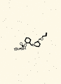 C=CCOC[C@@H]1CCCN(CC2CCCCC2OC(=O)NC(C)(C)C)C1